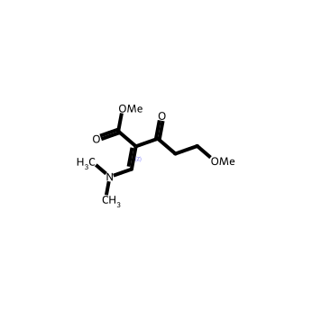 COCCC(=O)/C(=C/N(C)C)C(=O)OC